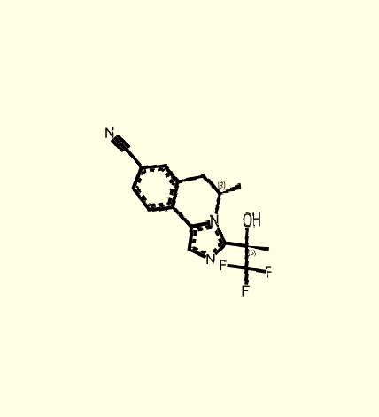 C[C@@H]1Cc2cc(C#N)ccc2-c2cnc([C@](C)(O)C(F)(F)F)n21